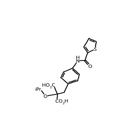 CC(C)OC(Cc1ccc(NC(=O)c2cccs2)cc1)(C(=O)O)C(=O)O